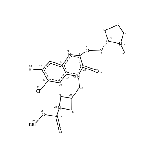 CN1CCC[C@H]1COc1nc2cc(Br)c(Cl)cc2n(CC2CN(C(=O)OC(C)(C)C)C2)c1=O